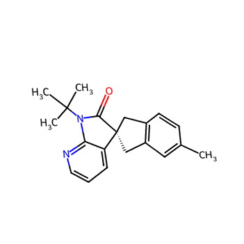 Cc1ccc2c(c1)C[C@@]1(C2)C(=O)N(C(C)(C)C)c2ncccc21